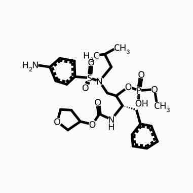 COP(=O)(O)OC(CN(CC(C)C)S(=O)(=O)c1ccc(N)cc1)[C@H](Cc1ccccc1)NC(=O)OC1CCOC1